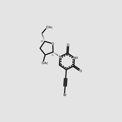 CC(=O)OC[C@H]1CC(OC(C)=O)[C@@H](n2cc(C#CBr)c(=O)[nH]c2=O)O1